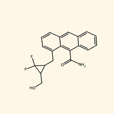 NC(=O)c1c2ccccc2cc2cccc(CC3C(CO)C3(F)F)c12